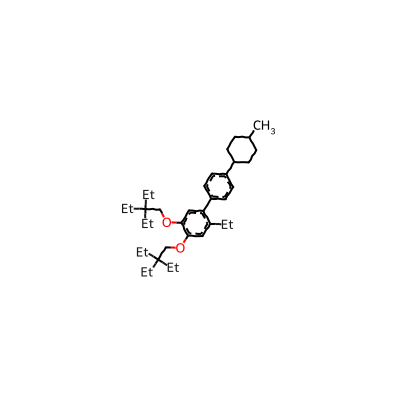 CCc1cc(OCC(CC)(CC)CC)c(OCC(CC)(CC)CC)cc1-c1ccc(C2CCC(C)CC2)cc1